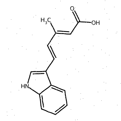 CC(C=Cc1c[nH]c2ccccc12)=CC(=O)O